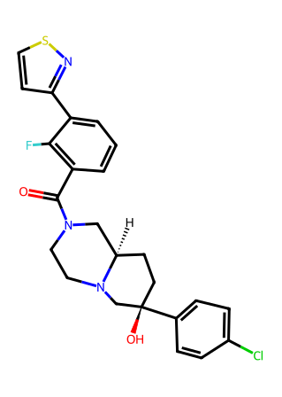 O=C(c1cccc(-c2ccsn2)c1F)N1CCN2C[C@@](O)(c3ccc(Cl)cc3)CC[C@@H]2C1